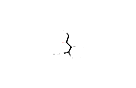 CCCCCCC(CCCCCC)[C@H](C)[C@@H](O)CC#N